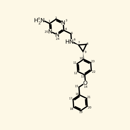 Nc1cnc(CN[C@H]2C[C@@H]2c2ccc(OCc3ccccc3)cc2)nn1